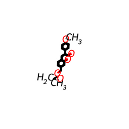 C=C(C)C(=O)OCc1ccc2cc(-c3ccc(OC)cc3)c(=O)oc2c1